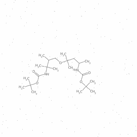 CC(CC(C)(C)OCC(C)C(C)(C)NC(=O)OC(C)(C)C)NC(=O)OC(C)(C)C